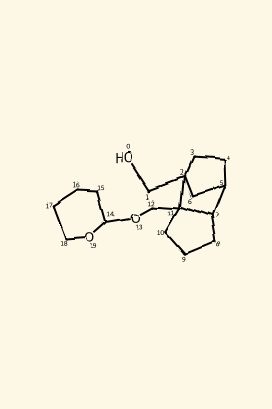 OCC12CCC(C1)C1CCCC12COC1CCCCO1